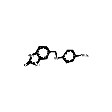 CC(=O)Nc1ccc(NCc2ccc3[nH]c(=O)[nH]c3c2)cc1